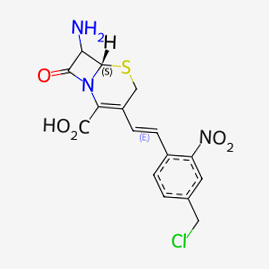 NC1C(=O)N2C(C(=O)O)=C(/C=C/c3ccc(CCl)cc3[N+](=O)[O-])CS[C@@H]12